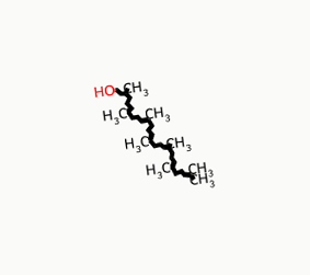 CC(C)=CCCC(C)=CCCC(C)=CCCC(C)=CCCC(C)=CCCC(C)=CCCC(C)CCO